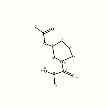 CC(=O)OC1CCCN(C(=O)[C@@H](C)O)C1